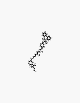 CCCNC(=O)C1CCCN(CCCCCC(=O)CNCCN2CCC(OC(=O)Nc3ccccc3-c3ccccc3)CC2)C1